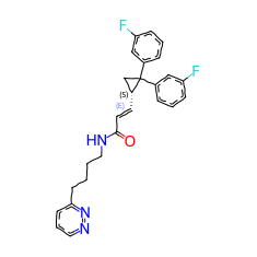 O=C(/C=C/[C@@H]1CC1(c1cccc(F)c1)c1cccc(F)c1)NCCCCc1cccnn1